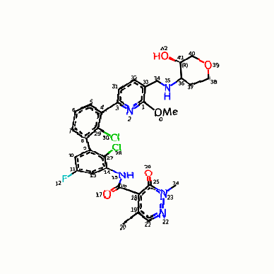 COc1nc(-c2cccc(-c3cc(F)cc(NC(=O)c4c(C)cnn(C)c4=O)c3Cl)c2Cl)ccc1CNC1CCOC[C@@H]1O